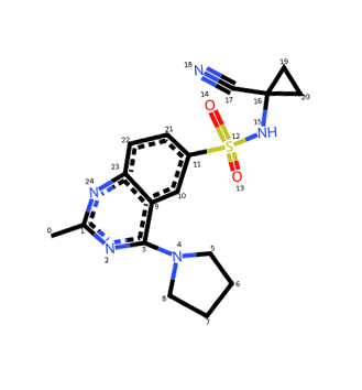 Cc1nc(N2CCCC2)c2cc(S(=O)(=O)NC3(C#N)CC3)ccc2n1